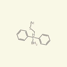 B[PH](CSC(C)=O)(c1ccccc1)c1ccccc1